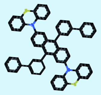 C1=C(c2ccccc2)C=C(c2c3cc(N4c5ccccc5Sc5ccccc54)ccc3c(-c3cccc(-c4ccccc4)c3)c3cc(N4c5ccccc5Sc5ccccc54)ccc23)CC1